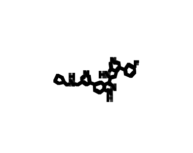 Fc1cccc(-c2cncc3[nH]c(-c4n[nH]c5ccc(-c6cncc(CNCC7CCCC7)c6)cc45)cc23)c1